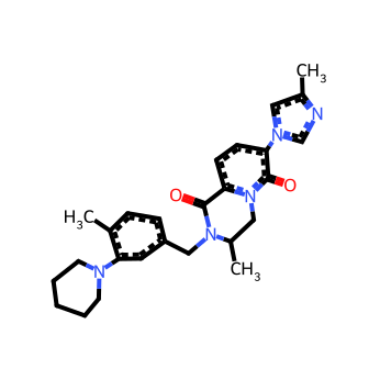 Cc1cn(-c2ccc3n(c2=O)CC(C)N(Cc2ccc(C)c(N4CCCCC4)c2)C3=O)cn1